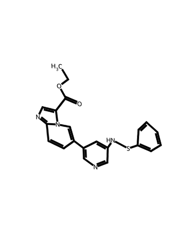 CCOC(=O)c1cnc2ccc(-c3cncc(NSc4ccccc4)c3)cn12